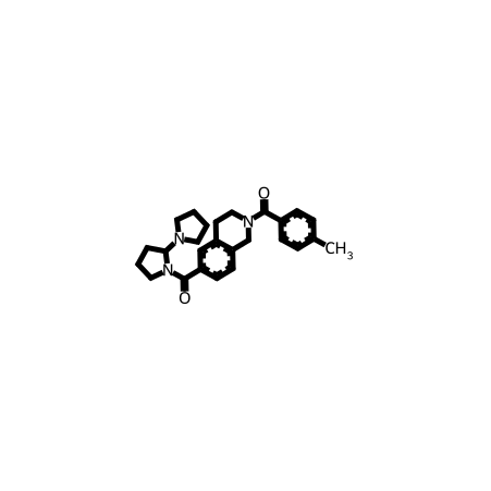 Cc1ccc(C(=O)N2CCc3cc(C(=O)N4CCCC4N4CCCC4)ccc3C2)cc1